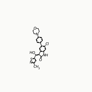 Cc1cc(C(O)=C2C(=O)Nc3cc(Cl)c(-c4ccc(N5CCOCC5)cc4)cc32)sn1